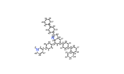 CN1C=C(c2ccc(-c3cc(-c4ccc(-c5cccc6c5C=CCC6)cc4)cc4c3N=C(c3ccc(-c5ccccc5)cc3)C4)cc2)C=CC1